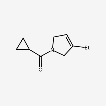 CCC1=CCN(C(=O)C2CC2)C1